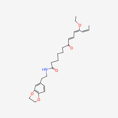 C\C=C/C(=C\C=C\C(=O)CCCCCC(=O)NCCc1ccc2c(c1)OCCO2)OCC